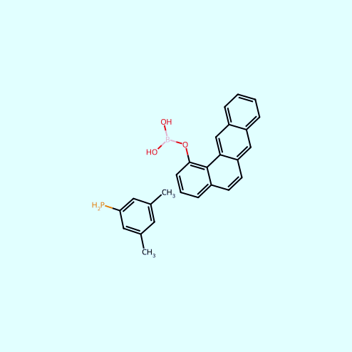 Cc1cc(C)cc(P)c1.OB(O)Oc1cccc2ccc3cc4ccccc4cc3c12